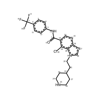 O=C(Nc1ccc(C(F)(F)F)cc1)c1cnc2ncn(CCC3CCNCC3)c2c1Cl